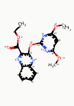 CCOC(=O)c1nc2ccccc2nc1Oc1nc(OC)cc(OC)n1